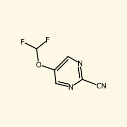 N#Cc1ncc(OC(F)F)cn1